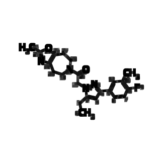 CCc1cc(-c2ccc(F)c(C)c2)nn1CC(=O)N1CCc2nc(C)oc2CC1